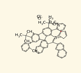 Cc1ccccc1-c1cc2c(cc1C(C)(C)C)-c1cc(C(C)(C)C)c(-c3ccccc3C)[c]([Zr+2]([C]3=CC=CC3)=[C](c3ccc4ccccc4c3)c3ccc4ccccc4c3)c1C2.[Cl-].[Cl-]